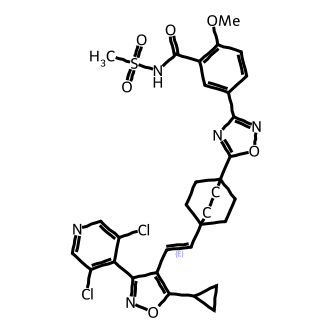 COc1ccc(-c2noc(C34CCC(/C=C/c5c(-c6c(Cl)cncc6Cl)noc5C5CC5)(CC3)CC4)n2)cc1C(=O)NS(C)(=O)=O